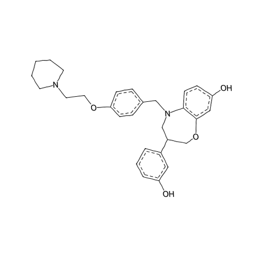 Oc1cccc(C2COc3cc(O)ccc3N(Cc3ccc(OCCN4CCCCC4)cc3)C2)c1